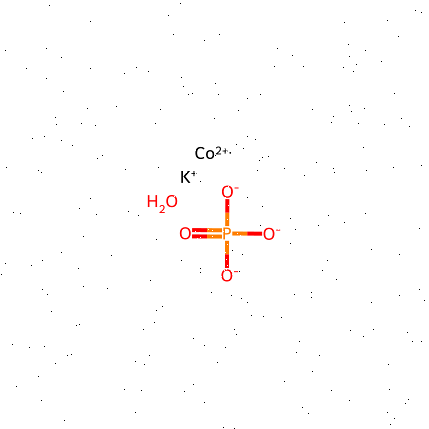 O.O=P([O-])([O-])[O-].[Co+2].[K+]